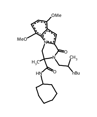 CCCCC(C)CN1C(=O)c2cc3c(OC)ccc(OC)c3n2CC1(C)C(=O)NC1CCCCCC1